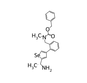 C[C@@H](N)c1cc(-c2ccccc2CN(C)C(=O)OCc2ccccc2)c[se]1